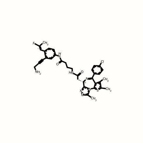 C/C(F)=C\c1ccc(NC(=O)CCCNC(=O)C[C@@H]2N=C(c3ccc(Cl)cc3)c3c(sc(C)c3C)-n3c(C)nnc32)cc1C#CCN